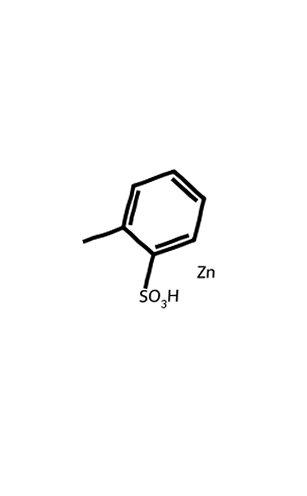 Cc1ccccc1S(=O)(=O)O.[Zn]